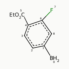 Bc1ccc(C(=O)OCC)c(F)c1